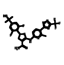 Cc1nc(NC2=C(C(N)=O)CC(c3c(F)cc(C(C)(C)O)cc3F)S2)ccc1-c1nnc(C(F)(F)F)o1